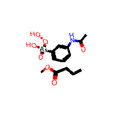 CC(=O)Nc1cccc([As](=O)(O)OO)c1.CCCC(=O)OC